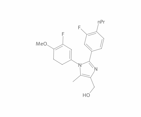 CCCc1ccc(-c2nc(CO)c(C)n2C2=CC(F)=C(OC)CC2)cc1F